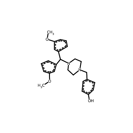 COc1cccc(C(c2cccc(OC)c2)N2CCN(Cc3ccc(O)cc3)CC2)c1